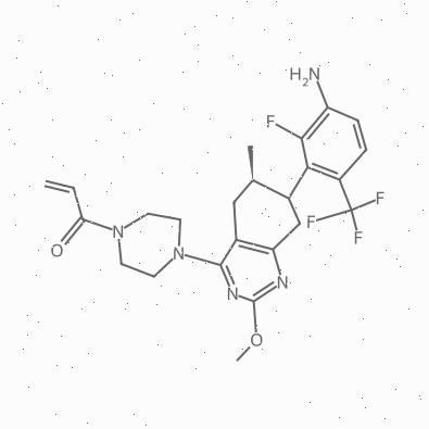 C=CC(=O)N1CCN(c2nc(OC)nc3c2C[C@@H](C)C(c2c(C(F)(F)F)ccc(N)c2F)C3)CC1